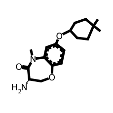 CN1C(=O)[C@@H](N)COc2ccc(OC3CCC(C)(C)CC3)cc21